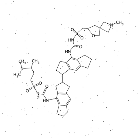 CC(CCS(=O)(=O)NC(=O)Nc1c2c(cc3c1CC(C1CCc4c1cc1c(c4NC(=O)NS(=O)(=O)CC4CC5(CO4)CN(C)C5)CCC1)C3)CCC2)N(C)C